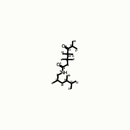 CC(CNC(=O)CC(C)(C)C(C)(C)C(=O)C(C)C)CC(C)C(C)C